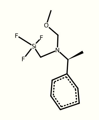 COCN(C[Si](F)(F)F)[C@@H](C)c1ccccc1